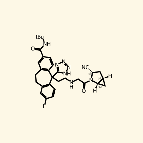 CC(C)(C)NC(=O)c1ccc2c(c1)CCc1cc(F)ccc1C2(CCNCC(=O)N1[C@H](C#N)C[C@@H]2C[C@@H]21)c1nnn[nH]1